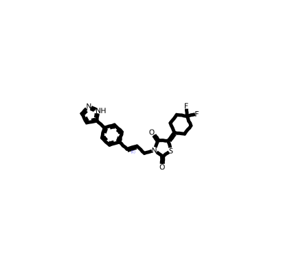 O=C1SC(=C2CCC(F)(F)CC2)C(=O)N1C/C=C/c1ccc(-c2ccn[nH]2)cc1